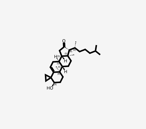 CC(C)CCC[C@@H](C)[C@H]1C(=O)C[C@H]2[C@@H]3CC=C4C5(CC5)[C@H](O)CC[C@]4(C)[C@H]3CC[C@]12C